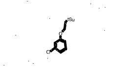 CC(C)(C)CCOc1cccc(Cl)c1